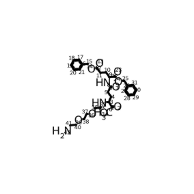 CC(=O)C(CCC(=O)NC(CCC(=O)OCc1ccccc1)C(=O)OCc1ccccc1)NC(=O)COCCOCCN